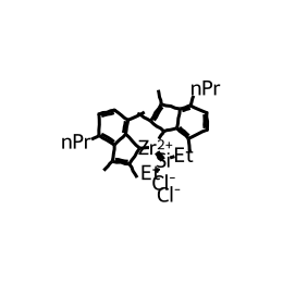 CCCc1ccc(C)c2c1C(C)=C(C)[CH]2[Zr+2]([CH]1C(C)=C(C)c2c(CCC)ccc(C)c21)=[Si](CC)CC.[Cl-].[Cl-]